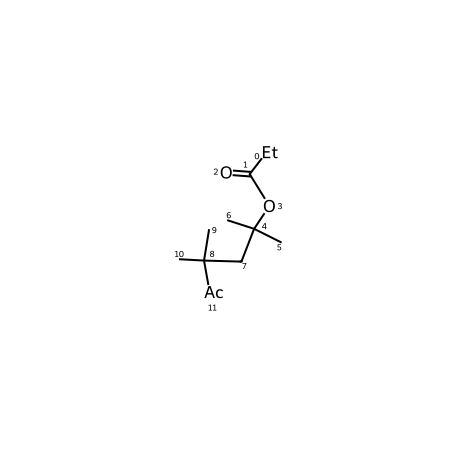 CCC(=O)OC(C)(C)CC(C)(C)C(C)=O